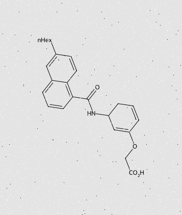 CCCCCCc1ccc2c(C(=O)NC3C=C(OCC(=O)O)C=CC3)cccc2c1